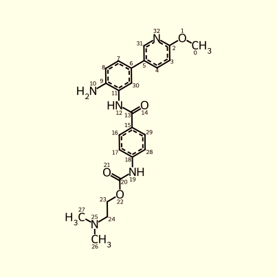 COc1ccc(-c2ccc(N)c(NC(=O)c3ccc(NC(=O)OCCN(C)C)cc3)c2)cn1